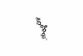 Nc1ncc(-c2ccc(C3(n4cnc(-c5ccc(C[SH](=O)=O)nc5)c4)CCC3)cn2)cn1